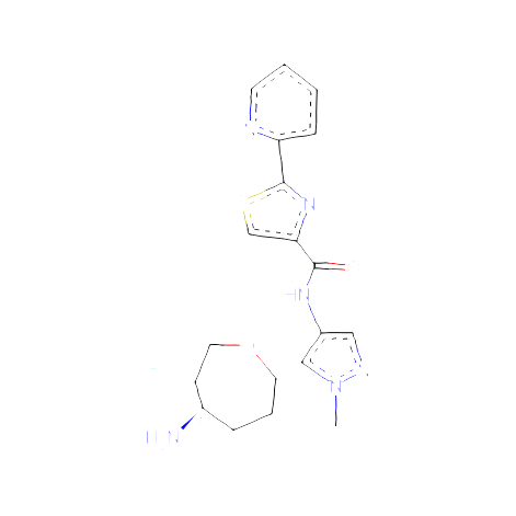 Cn1ncc(NC(=O)c2csc(-c3ccccn3)n2)c1[C@@H]1CC[C@@H](N)[C@H](F)CO1